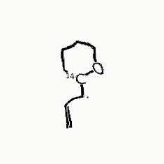 C=C[CH][14CH]1CCCCO1